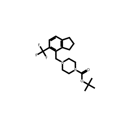 CC(C)(C)OC(=O)N1CCN(Cc2c(C(F)(F)F)ccc3c2CCC3)CC1